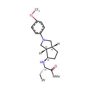 CNC(=O)[C@H](CC(C)C)N[C@@H]1CC[C@H]2CN(c3ccc(OC(F)(F)F)cc3)C[C@H]21